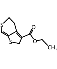 CCOC(=O)C1=C2CCS[C]=C2SC1